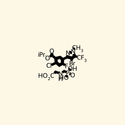 CC(C)OC(=O)c1cc(-c2nn(C)c(C(F)(F)F)c2Br)c(F)cc1Cl.O=C(O)CNCP(=O)(O)O